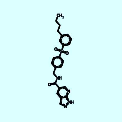 CCCCc1cccc(S(=O)(=O)c2ccc(CNC(=O)c3cnc4[nH]ncc4c3)cc2)c1